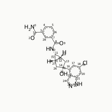 NC(=O)c1cccc(C(=O)N[C@@H]2[C@@H]3C[C@@](O)(c4cc(Cl)cc5[nH]ncc45)C[C@@H]32)c1